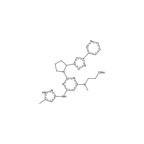 COCCN(C)c1cc(Nc2cc(C)[nH]n2)nc(N2CCCC2c2cc(-c3cccnc3)no2)n1